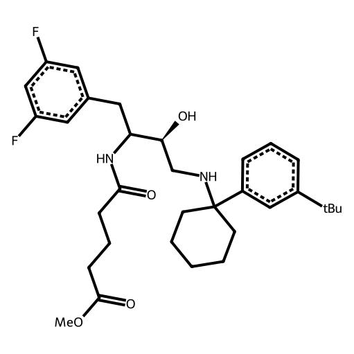 COC(=O)CCCC(=O)NC(Cc1cc(F)cc(F)c1)[C@@H](O)CNC1(c2cccc(C(C)(C)C)c2)CCCCC1